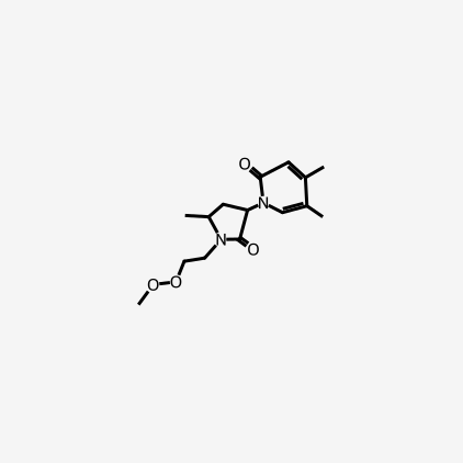 COOCCN1C(=O)C(n2cc(C)c(C)cc2=O)CC1C